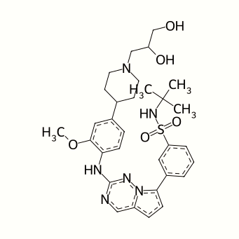 COc1cc(C2CCN(CC(O)CO)CC2)ccc1Nc1ncc2ccc(-c3cccc(S(=O)(=O)NC(C)(C)C)c3)n2n1